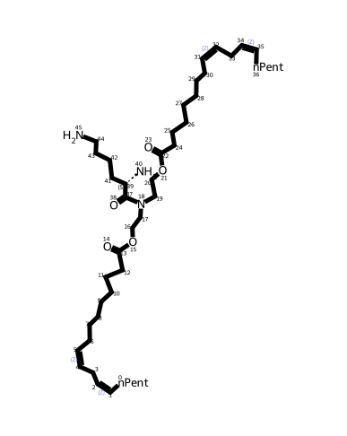 CCCCC/C=C\C/C=C\CCCCCCCC(=O)OCCN(CCOC(=O)CCCCCCC/C=C\C/C=C\CCCCC)C(=O)[C@@H](N)CCCCN